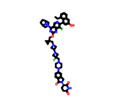 CCc1cccc2cc(O)cc(-c3ncc4c(N5CC6CCC(C5)N6)nc(OCC5(CN6CC(N7CC(F)(CN8CCN(c9ccc%10c(c9)CN([C@H]9CCC(=O)NC9=O)C%10=O)CC8)C7)C6)CC5)nc4c3F)c12